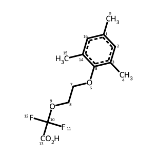 Cc1cc(C)c(OCCOC(F)(F)C(=O)O)c(C)c1